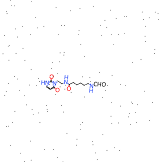 O=CNCCCCCC(=O)NCCn1c(=O)cc[nH]c1=O